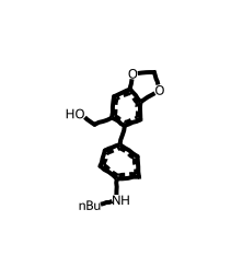 CCCCNc1ccc(-c2cc3c(cc2CO)OCO3)cc1